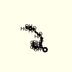 CC(C)(CNC(=O)CCCCNC(=O)c1ccc(N(O)O)cc1)SSCOC1C[C@H](C2=C/C=C\C=C/C=C\2)O[C@@H]1COP(=O)(O)OP(=O)(O)OP(=O)(O)O